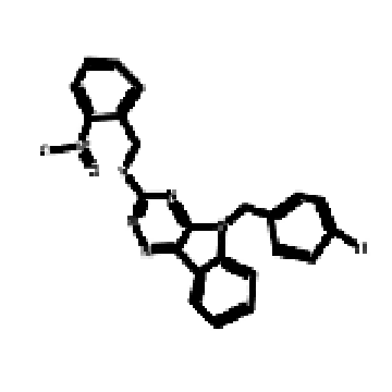 O=[N+]([O-])c1ccccc1CSc1nnc2c3ccccc3n(Cc3ccc(Cl)cc3)c2n1